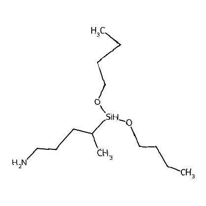 CCCCO[SiH](OCCCC)C(C)CCCN